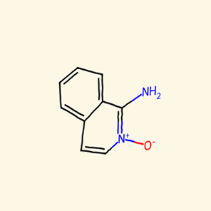 Nc1c2ccccc2cc[n+]1[O-]